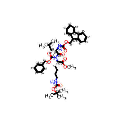 COC(=O)[C@H](CCCCNC(=O)OC(C)(C)C)N(C(=O)OCc1ccccc1)C(=O)[C@H](CC(C)C)NC(=O)OCC1c2ccccc2-c2ccccc21